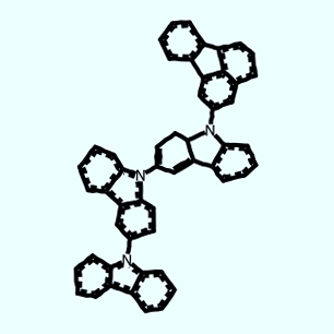 C1=C2c3ccccc3N(c3cc4c5c(cccc5c3)-c3ccccc3-4)C2CC=C1n1c2ccccc2c2cc(-n3c4ccccc4c4ccccc43)ccc21